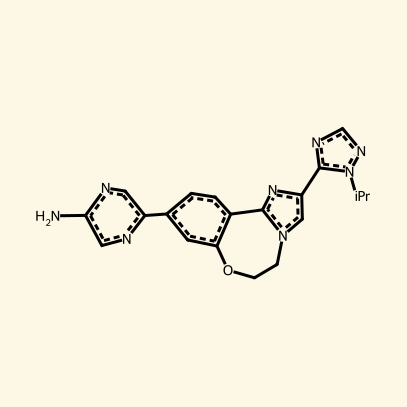 CC(C)n1ncnc1-c1cn2c(n1)-c1ccc(-c3cnc(N)cn3)cc1OCC2